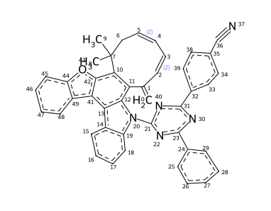 C=C1/C=C\C=C/CC(C)(C)c2c1c1c(c3ccccc3n1-c1nc(-c3ccccc3)nc(-c3ccc(C#N)cc3)n1)c1c2oc2ccccc21